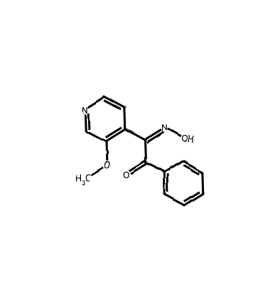 COc1cnccc1C(=NO)C(=O)c1ccccc1